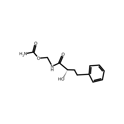 NC(=O)OCNC(=O)[C@@H](O)[CH]Cc1ccccc1